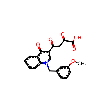 COc1cccc(Cn2cc(C(=O)CC(=O)C(=O)O)c(=O)c3ccccc32)c1